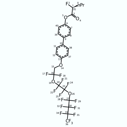 CCC[C@H](F)C(=O)Oc1ccc(-c2ccc(OCC(F)(F)OC(F)(F)C(F)(F)OC(F)(F)C(F)(F)C(F)(F)C(F)(F)F)cc2)cc1